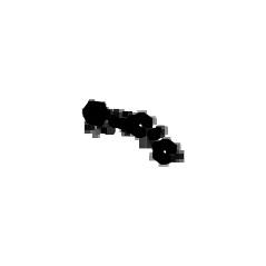 Nc1ccccc1NC(=O)c1nc2c(s1)CN(C(=S)NC1CCNCC1)CC2